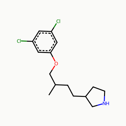 CC(CCC1CCNC1)COc1cc(Cl)cc(Cl)c1